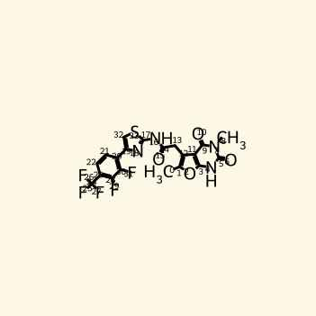 Cc1oc2[nH]c(=O)n(C)c(=O)c2c1CC(=O)Nc1nc(-c2ccc(C(F)(F)F)c(F)c2F)cs1